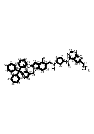 Cc1c(CN[C@H]2CC[C@@H](N(C)c3ncnc4sc(CC(F)(F)F)cc34)C2)ccc2c1cc(C#N)n2Cc1cnn(C(c2ccccc2)(c2ccccc2)c2ccccc2)c1